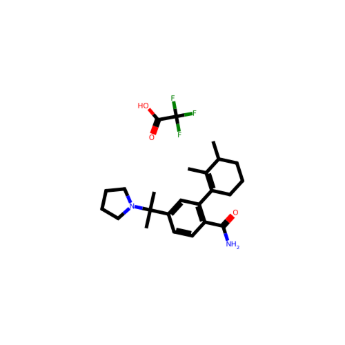 CC1=C(c2cc(C(C)(C)N3CCCC3)ccc2C(N)=O)CCCC1C.O=C(O)C(F)(F)F